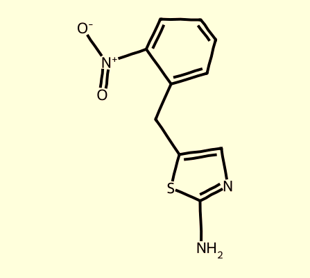 Nc1ncc(Cc2ccccc2[N+](=O)[O-])s1